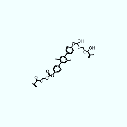 C=C(C)C(=O)OCOC(=O)Oc1ccc(-c2cc(C)c(-c3ccc(OC(O)OCOC(O)C(=C)C)cc3)cc2C)cc1